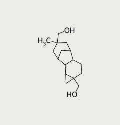 CC1(CO)CC2CC(C1)C1C2CCC2(CO)CC12